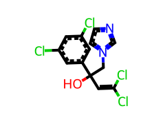 OC(C=C(Cl)Cl)(Cn1ccnc1)c1cc(Cl)cc(Cl)c1